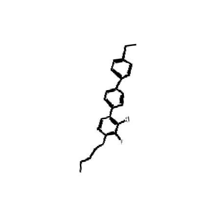 CCCCCc1ccc(-c2ccc(-c3ccc(CC)cc3)cc2)c(Cl)c1F